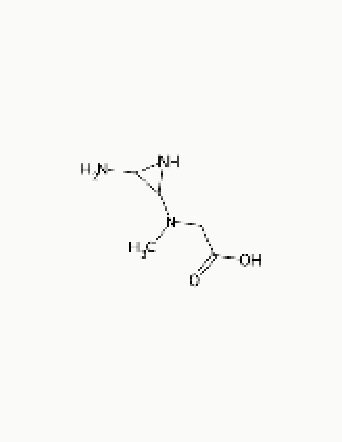 CN(CC(=O)O)C1NC1N